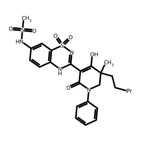 CC(C)CCC1(C)CN(c2ccccc2)C(=O)C(C2=NS(=O)(=O)c3cc(NS(C)(=O)=O)ccc3N2)=C1O